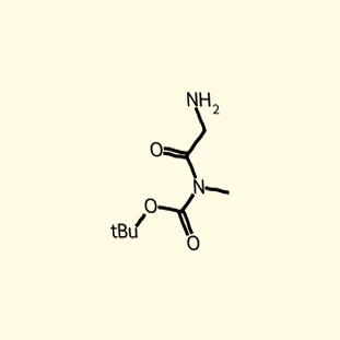 CN(C(=O)CN)C(=O)OC(C)(C)C